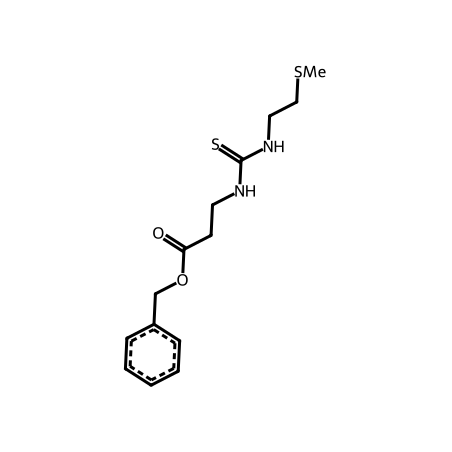 CSCCNC(=S)NCCC(=O)OCc1ccccc1